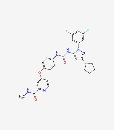 CNC(=O)c1cc(Oc2ccc(NC(=O)Nc3cc(C4CCCC4)nn3-c3cc(F)cc(F)c3)cc2)ccn1